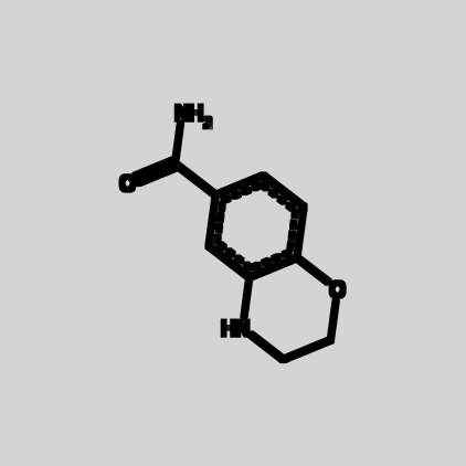 NC(=O)c1ccc2c(c1)NCCO2